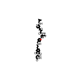 O=C1CCC(N2C(=O)c3ccc(CCCNCc4ccc(-n5cc(NC(=O)c6coc(-c7ccnc(NCC8CC8)c7)n6)c(C(F)F)n5)cc4)cc3C2=O)C(=O)N1